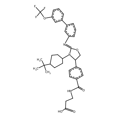 CC(C)(C)C1CCC(N2/C(=N/c3cccc(-c4cccc(OC(F)(F)F)c4)c3)OCC2c2ccc(C(=O)NCCC(=O)O)cc2)CC1